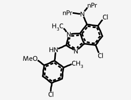 CCCN(CCC)c1c(Cl)cc(Cl)c2nc(Nc3c(C)cc(Cl)cc3OC)n(C)c12